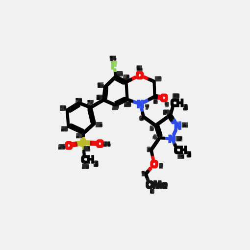 COCOCc1c(CN2C(=O)COc3c(F)cc(-c4cccc(S(C)(=O)=O)c4)cc32)c(C)nn1C